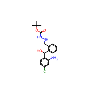 CC(C)(C)OC(=O)NNCc1ccccc1C(O)c1ccc(Cl)cc1N